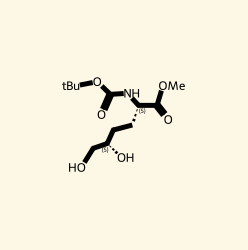 COC(=O)[C@H](CC[C@H](O)CO)NC(=O)OC(C)(C)C